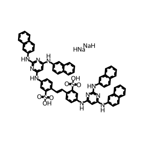 O=S(=O)(O)c1cc(Nc2cc(Nc3ccc4ccccc4c3)nc(Nc3ccc4ccccc4c3)n2)ccc1C=Cc1ccc(Nc2cc(Nc3ccc4ccccc4c3)nc(Nc3ccc4ccccc4c3)n2)cc1S(=O)(=O)O.[NaH].[NaH]